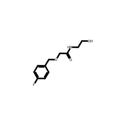 O=C(COCc1ccc(F)cc1)NCCO